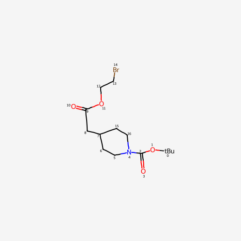 CC(C)(C)OC(=O)N1CCC(CC(=O)OCCBr)CC1